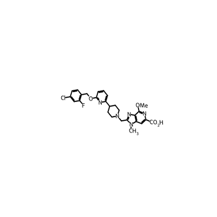 COc1nc(C(=O)O)cc2c1nc(CN1CCC(c3cccc(OCc4ccc(Cl)cc4F)n3)CC1)n2C